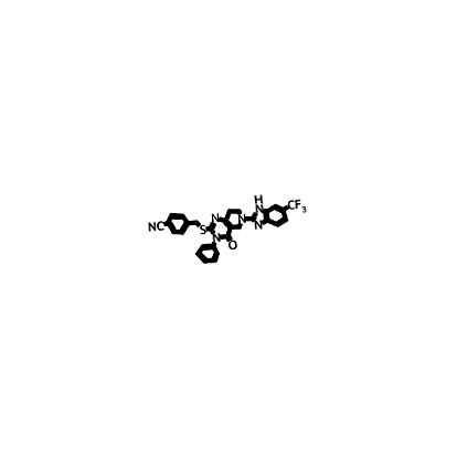 N#Cc1ccc(CSc2nc3c(c(=O)n2-c2ccccc2)CN(c2nc4ccc(C(F)(F)F)cc4[nH]2)CC3)cc1